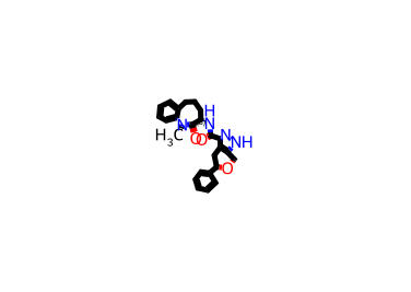 CN1C(=O)[C@@H](NC(=O)c2n[nH]c3c2CC(c2ccccc2)OC3)CCCc2ccccc21